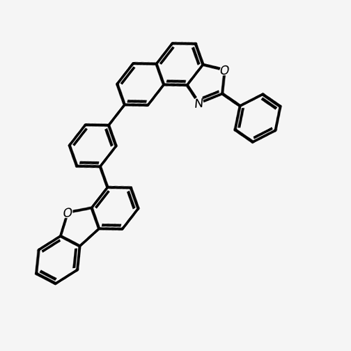 c1ccc(-c2nc3c(ccc4ccc(-c5cccc(-c6cccc7c6oc6ccccc67)c5)cc43)o2)cc1